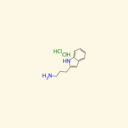 Cl.Cl.NCCCc1cc2ccccc2[nH]1